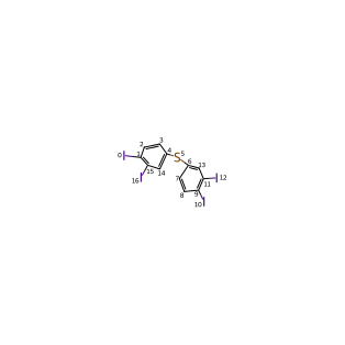 Ic1ccc(Sc2ccc(I)c(I)c2)cc1I